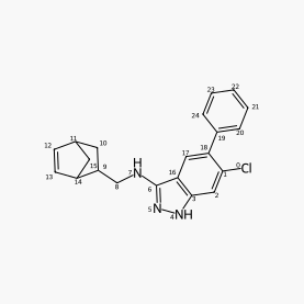 Clc1cc2[nH]nc(NCC3CC4C=CC3C4)c2cc1-c1ccccc1